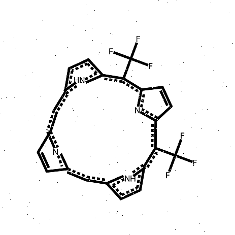 FC(F)(F)c1c2nc(c(C(F)(F)F)c3ccc(cc4nc(cc5ccc1[nH]5)C=C4)[nH]3)C=C2